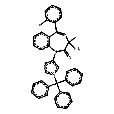 CC1(N)N=C(c2ccccc2F)c2ccccc2N(c2cn(C(c3ccccc3)(c3ccccc3)c3ccccc3)cn2)C1=O